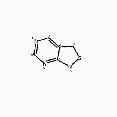 c1ncc2c(n1)[N]SC2